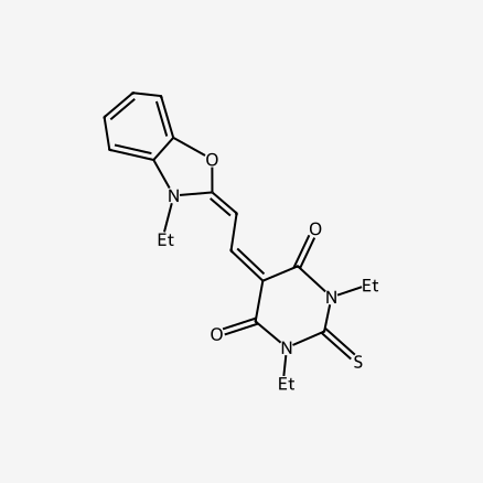 CCN1C(=O)C(=CC=C2Oc3ccccc3N2CC)C(=O)N(CC)C1=S